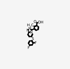 Cc1c(C(=O)O)cccc1-c1nnc2ccc(Sc3ccc(F)cc3F)cn12